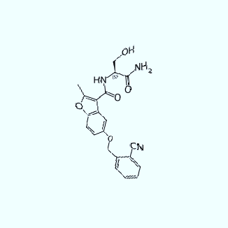 Cc1oc2ccc(OCc3ccccc3C#N)cc2c1C(=O)N[C@@H](CO)C(N)=O